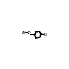 Clc1ccc(COBr)cc1